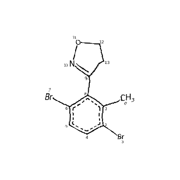 Cc1c(Br)ccc(Br)c1C1=NOCC1